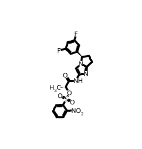 C[C@@H](OS(=O)(=O)c1ccccc1[N+](=O)[O-])C(=O)Nc1cn2c(n1)CC[C@@H]2c1cc(F)cc(F)c1